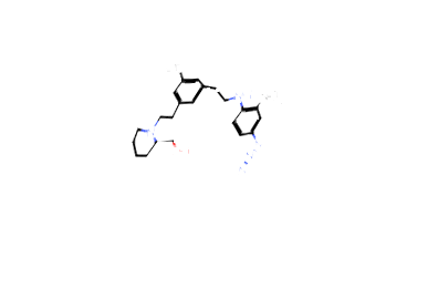 CC(C)c1cc(CCNc2ccc(N=[N+]=[N-])cc2[N+](=O)[O-])cc(CCN2CCCC[C@@H]2CO)c1